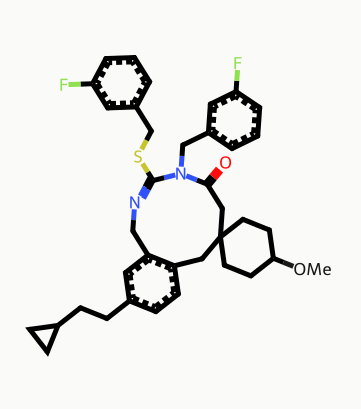 COC1CCC2(CC1)CC(=O)N(Cc1cccc(F)c1)/C(SCc1cccc(F)c1)=N\Cc1cc(CCC3CC3)ccc1C2